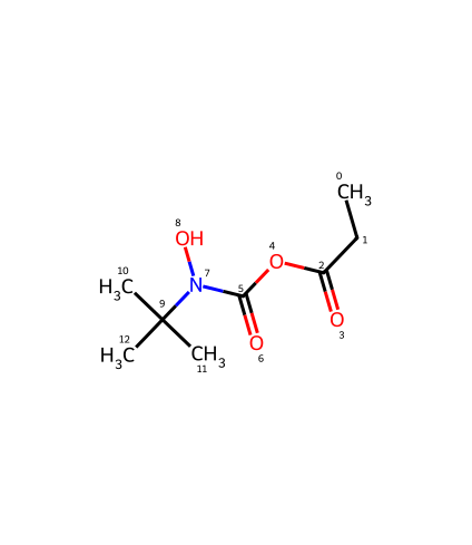 CCC(=O)OC(=O)N(O)C(C)(C)C